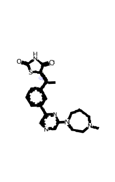 C/C(=C1/SC(=O)NC1=O)c1cccc(-c2cncc(N3CCCN(C)CC3)n2)c1